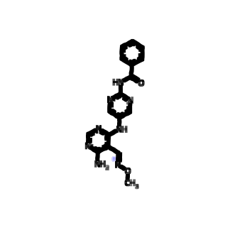 CO/N=C/c1c(N)ncnc1Nc1cnc(NC(=O)c2ccccc2)nc1